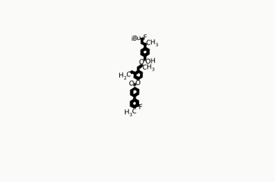 C=CC1=C(/C=C(\C)OC(O)c2ccc(C(C)C[C@H](F)C(C)CC)cc2)CCC(OC(=O)[C@H]2C=CC(c3ccc(C)c(F)c3)=CC2)=C1